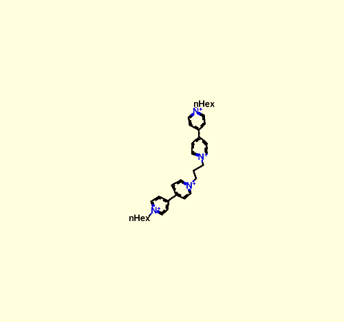 CCCCCC[n+]1ccc(-c2cc[n+](CCC[n+]3ccc(-c4cc[n+](CCCCCC)cc4)cc3)cc2)cc1